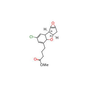 COC(=O)CCCC1=CC(Cl)=CC2C1O[C@@H]1CC3=C(O3)[C@H]21